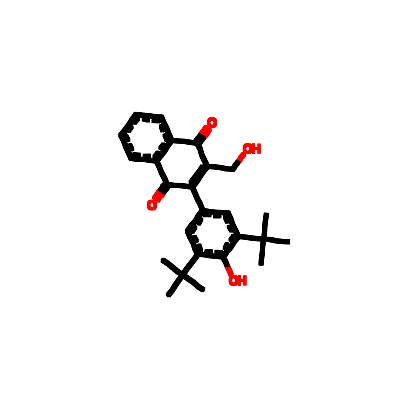 CC(C)(C)c1cc(C2=C(CO)C(=O)c3ccccc3C2=O)cc(C(C)(C)C)c1O